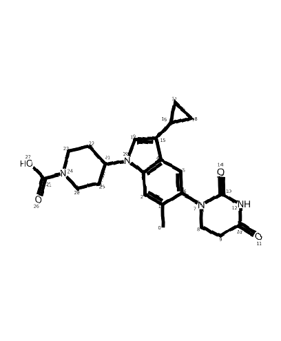 Cc1cc2c(cc1N1CCC(=O)NC1=O)c(C1CC1)cn2C1CCN(C(=O)O)CC1